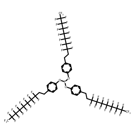 FC(F)(F)C(F)(F)C(F)(F)C(F)(F)C(F)(F)C(F)(F)C(F)(F)C(F)(F)CCc1ccc(OP(Oc2ccc(CCC(F)(F)C(F)(F)C(F)(F)C(F)(F)C(F)(F)C(F)(F)C(F)(F)C(F)(F)F)cc2)Oc2ccc(CCC(F)(F)C(F)(F)C(F)(F)C(F)(F)C(F)(F)C(F)(F)C(F)(F)C(F)(F)F)cc2)cc1